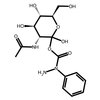 CC(=O)N[C@@H]1[C@@H](O)[C@H](O)[C@@H](CO)OC1(O)OC(=O)N(N)c1ccccc1